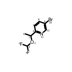 CC(OC(F)F)c1ccc(Br)cn1